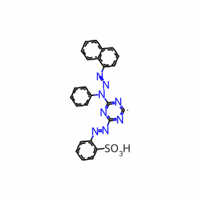 O=S(=O)(O)c1ccccc1N=Nc1n[c]nc(N(N=Nc2cccc3ccccc23)c2ccccc2)n1